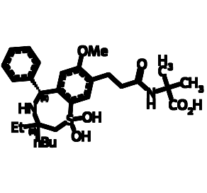 CCCC[C@]1(CC)CS(O)(O)c2cc(CCC(=O)NC(C)(C)C(=O)O)c(OC)cc2[C@@H](c2ccccc2)N1